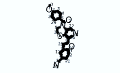 COc1ccc(C(=O)N2CCSc3c(-c4cc5cc(C#N)ccc5o4)cncc32)cc1